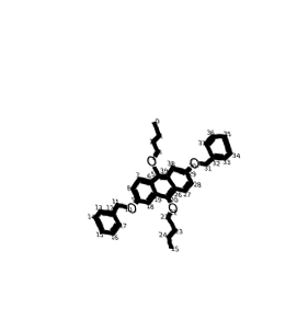 CCCCOc1c2ccc(OCc3ccccc3)cc2c(OCCCC)c2ccc(OCc3ccccc3)cc12